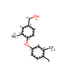 Cc1ccc(Oc2ccc(CO)cc2C#N)cc1C(F)(F)F